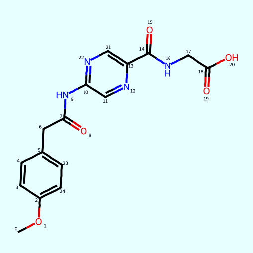 COc1ccc(CC(=O)Nc2cnc(C(=O)NCC(=O)O)cn2)cc1